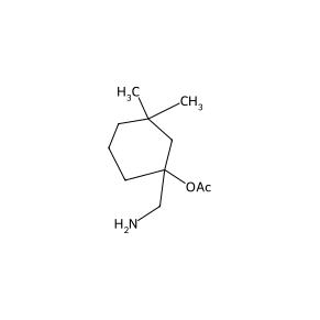 CC(=O)OC1(CN)CCCC(C)(C)C1